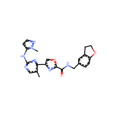 Cc1cnc(Nc2ccnn2C)nc1-c1coc(C(=O)NCc2ccc3c(c2)CCO3)n1